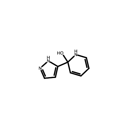 OC1(c2ccn[nH]2)C=CC=CN1